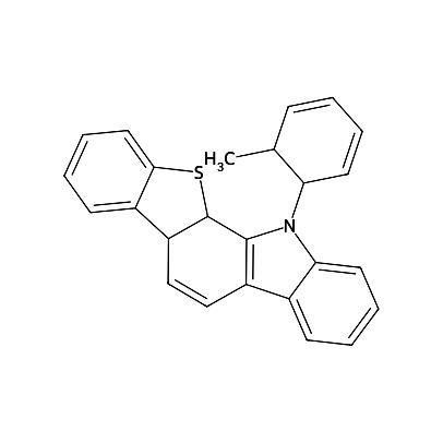 CC1C=CC=CC1n1c2c(c3ccccc31)C=CC1c3ccccc3SC21